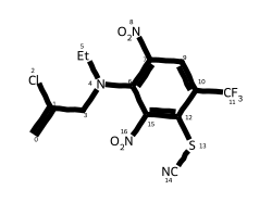 C=C(Cl)CN(CC)c1c([N+](=O)[O-])cc(C(F)(F)F)c(SC#N)c1[N+](=O)[O-]